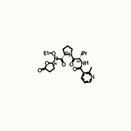 CCON(C(=O)[C@@H]1CCCN1C(=O)[C@@H](NC(=O)c1cccnc1C)C(C)C)[C@H]1CCC(=O)O1